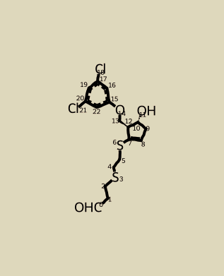 O=CCCSCCSC1=CC[C@@H](O)[C@@H]1COc1cc(Cl)cc(Cl)c1